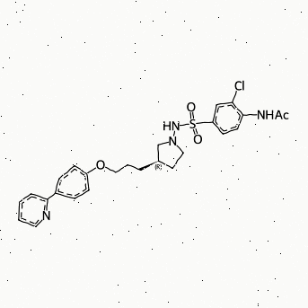 CC(=O)Nc1ccc(S(=O)(=O)NN2CC[C@@H](CCCOc3ccc(-c4ccccn4)cc3)C2)cc1Cl